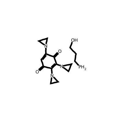 O=C1C=C(N2CC2)C(=O)C(N2CC2)=C1N1CC1.OCCCP